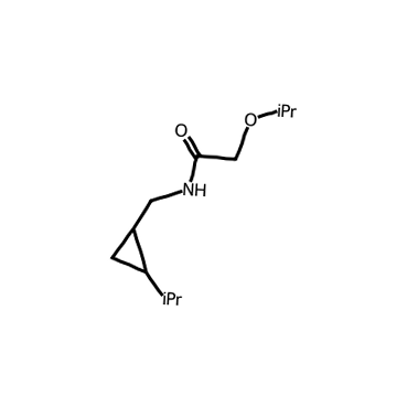 CC(C)OCC(=O)NCC1CC1C(C)C